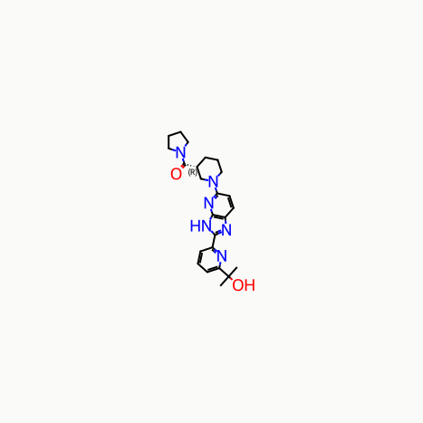 CC(C)(O)c1cccc(-c2nc3ccc(N4CCC[C@@H](C(=O)N5CCCC5)C4)nc3[nH]2)n1